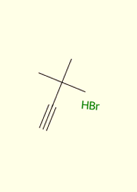 Br.C#CC(C)(C)C